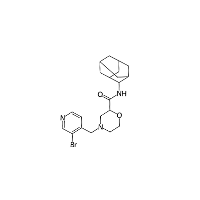 O=C(NC1C2CC3CC(C2)CC1C3)C1CN(Cc2ccncc2Br)CCO1